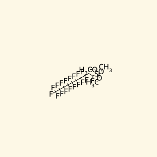 CO[Si](OC)(OC)C(F)CC(F)(F)C(F)(F)C(F)(F)C(F)(F)C(F)(F)C(F)(F)C(F)(F)C(F)(F)F